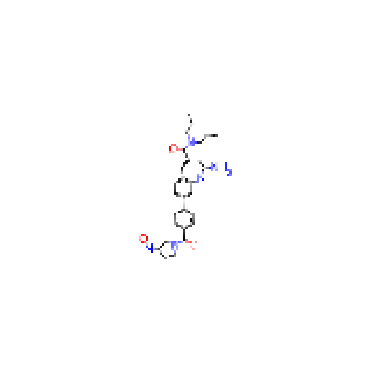 CCCN(CCC)C(=O)C1=Cc2ccc(-c3ccc(C(=O)N4CCC(N=O)C4)cc3)cc2N=C(N)C1